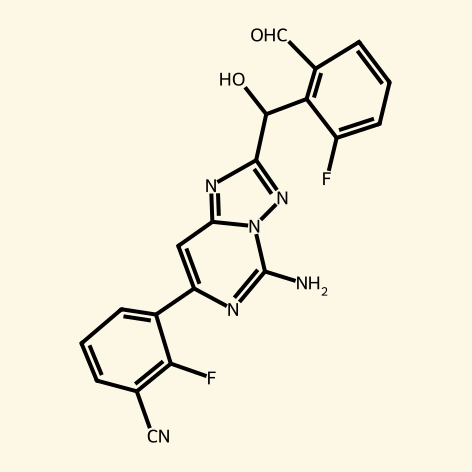 N#Cc1cccc(-c2cc3nc(C(O)c4c(F)cccc4C=O)nn3c(N)n2)c1F